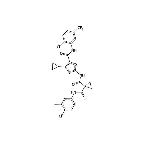 Cc1cc(NC(=O)C2(C(=O)Nc3nc(C4CC4)c(C(=O)Nc4cc(C(F)(F)F)ccc4Cl)s3)CC2)ccc1Cl